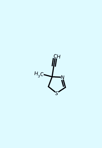 C#CC1(C)CSC=N1